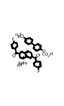 O=C(O)Oc1ccc(-c2ccc(O)cc2)cc1.O=C(c1ccc(F)cc1)c1ccc2cc(C(=O)c3ccc(F)cc3)ccc2c1.S.[KH].[NaH]